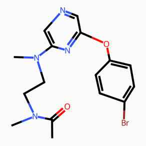 CC(=O)N(C)CCN(C)c1cncc(Oc2ccc(Br)cc2)n1